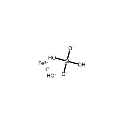 [Fe+2].[K+].[O-][Si]([O-])(O)O.[OH-]